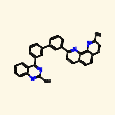 CC(C)(C)c1ccc2ccc3ccc(-c4cccc(-c5cccc(-c6nc(C(C)(C)C)nc7ccccc67)c5)c4)nc3c2n1